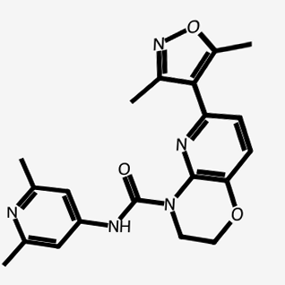 Cc1cc(NC(=O)N2CCOc3ccc(-c4c(C)noc4C)nc32)cc(C)n1